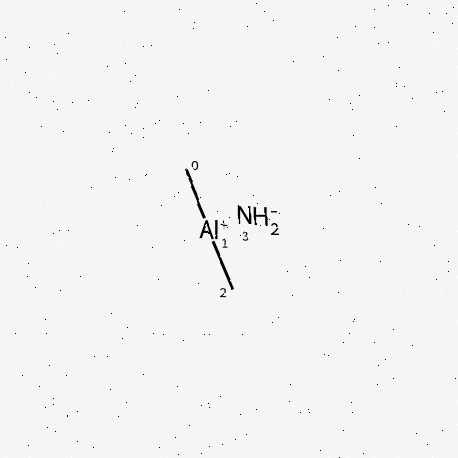 [CH3][Al+][CH3].[NH2-]